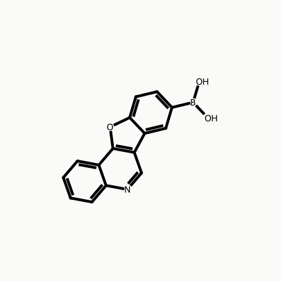 OB(O)c1ccc2oc3c4ccccc4ncc3c2c1